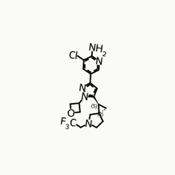 Nc1ncc(-c2cc([C@H]3C[C@@]34CCN(CC(F)(F)F)C4)n(C3COC3)n2)cc1Cl